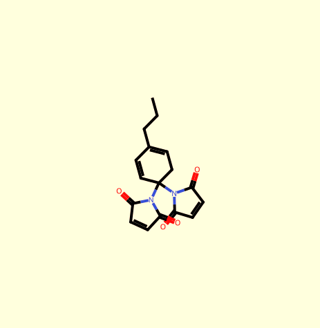 CCCC1=CCC(N2C(=O)C=CC2=O)(N2C(=O)C=CC2=O)C=C1